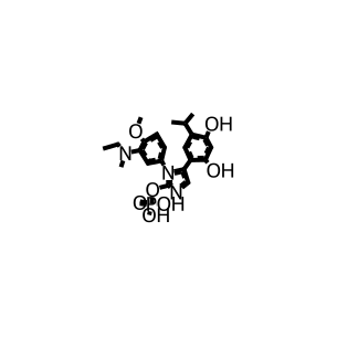 CCN(C)c1cc(-n2c(-c3cc(C(C)C)c(O)cc3O)cnc2OP(=O)(O)O)ccc1OC